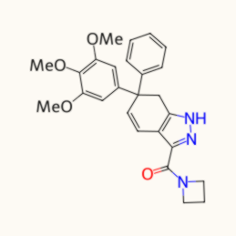 COc1cc(C2(c3ccccc3)C=Cc3c(C(=O)N4CCC4)n[nH]c3C2)cc(OC)c1OC